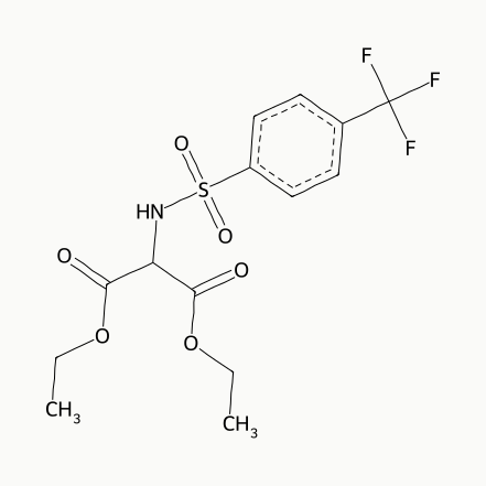 CCOC(=O)C(NS(=O)(=O)c1ccc(C(F)(F)F)cc1)C(=O)OCC